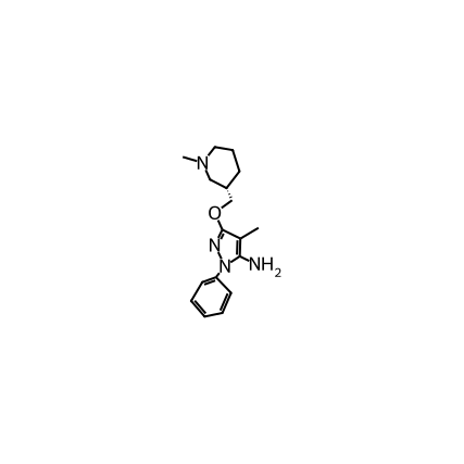 Cc1c(OC[C@H]2CCCN(C)C2)nn(-c2ccccc2)c1N